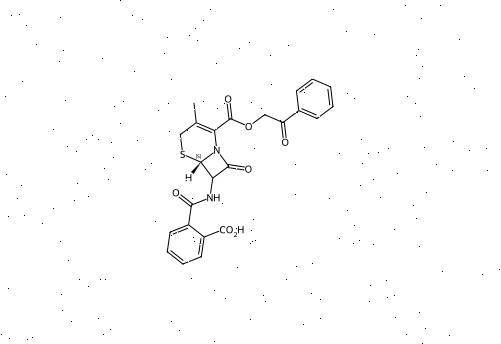 CC1=C(C(=O)OCC(=O)c2ccccc2)N2C(=O)C(NC(=O)c3ccccc3C(=O)O)[C@@H]2SC1